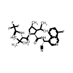 CC(C)C1[C@H](C)CN(C(=O)[C@@H](NC(=O)C(F)(F)F)C(C)(C)C)[C@@H]1C(=O)N[C@@H](C#N)c1cncc2c(F)cccc12